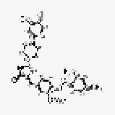 COc1cc(/C=C2\SC(N3CCN(c4ccc(Cl)c(Cl)c4)CC3)=NC2=O)ccc1OCc1ccc(C(F)(F)F)cc1C(F)(F)F